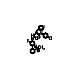 CS(=O)(=O)c1ccccc1-c1ccc(NC(=O)CN(Cc2ccncc2)C(=O)Nc2ccc(Cl)cc2)c(F)c1